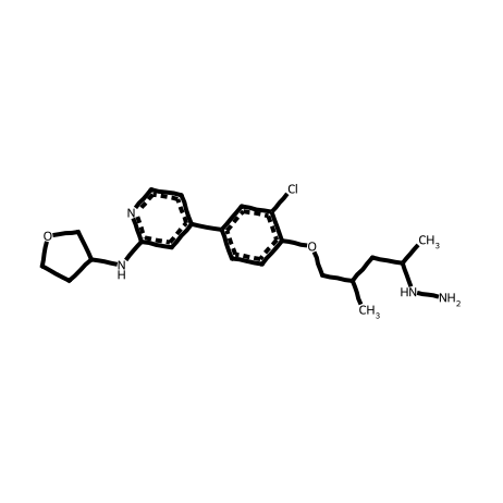 CC(COc1ccc(-c2ccnc(NC3CCOC3)c2)cc1Cl)CC(C)NN